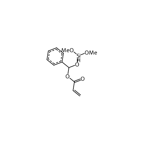 C=CC(=O)OC(O[SiH](OC)OC)c1ccccc1